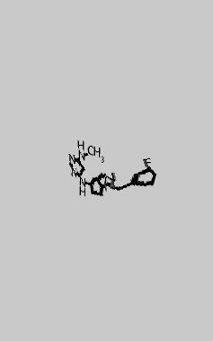 CCNc1cc(Nc2ccc3c(cnn3Cc3cccc(F)c3)c2)ncn1